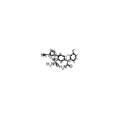 Cc1cccc(C(C(N)=O)c2ccc(-n3cc(C#N)cn3)c(S(N)(=O)=O)c2)c1